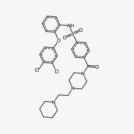 O=C(c1ccc(S(=O)(=O)Nc2ccccc2Oc2ccc(Cl)c(Cl)c2)cc1)N1CCN(CCN2CCCCC2)CC1